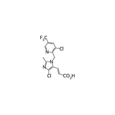 Cc1nc(Cl)c(/C=C/C(=O)O)n1Cc1ncc(C(F)(F)F)cc1Cl